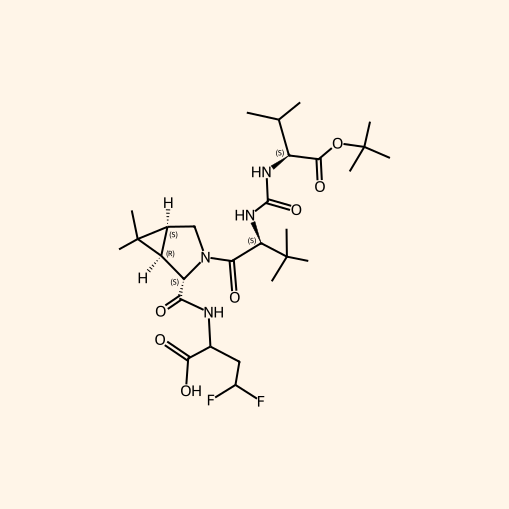 CC(C)[C@H](NC(=O)N[C@H](C(=O)N1C[C@H]2[C@@H]([C@H]1C(=O)NC(CC(F)F)C(=O)O)C2(C)C)C(C)(C)C)C(=O)OC(C)(C)C